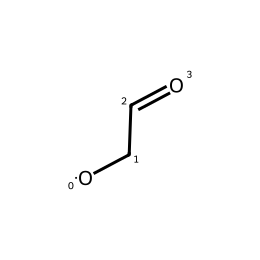 [O]CC=O